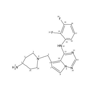 NC1CCN(Cc2ccn3ncnc(Nc4cccc(F)c4F)c23)CC1